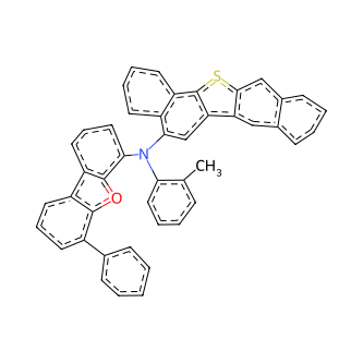 Cc1ccccc1N(c1cc2c3cc4ccccc4cc3sc2c2ccccc12)c1cccc2c1oc1c(-c3ccccc3)cccc12